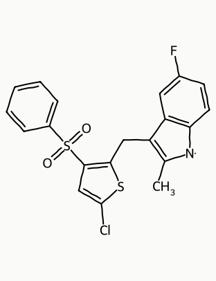 CC1=C(Cc2sc(Cl)cc2S(=O)(=O)c2ccccc2)c2cc(F)ccc2[N]1